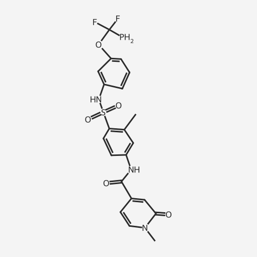 Cc1cc(NC(=O)c2ccn(C)c(=O)c2)ccc1S(=O)(=O)Nc1cccc(OC(F)(F)P)c1